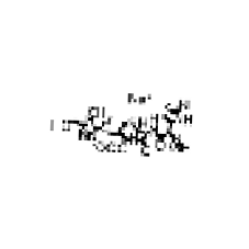 Cn1c(CO)nnc1SCC1=C(C(=O)[O-])N2C(=O)C(NC(=O)/C(=N\O)c3csc(=N)[nH]3)[C@H]2SC1.[Na+]